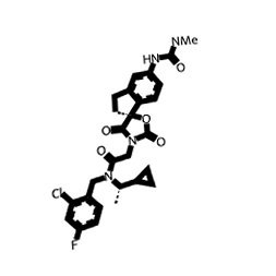 CNC(=O)Nc1ccc2c(c1)CC[C@@]21OC(=O)N(CC(=O)N(Cc2ccc(F)cc2Cl)[C@@H](C)C2CC2)C1=O